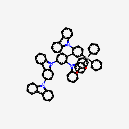 c1ccc([Si](c2ccccc2)(c2ccccc2)c2ccc(-n3c4ccccc4c4ccccc43)c(-c3ccc(-n4c5ccccc5c5cc(-n6c7ccccc7c7ccccc76)ccc54)cc3-n3c4ccccc4c4ccccc43)c2)cc1